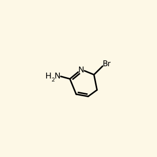 NC1=NC(Br)CC=C1